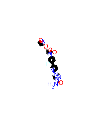 NC(=O)N1CCN(c2ccc(-c3ccc(N4C[C@H](COc5ccon5)OC4=O)cc3F)cn2)C=N1